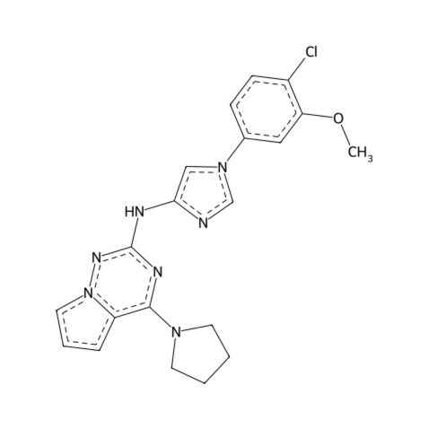 COc1cc(-n2cnc(Nc3nc(N4CCCC4)c4cccn4n3)c2)ccc1Cl